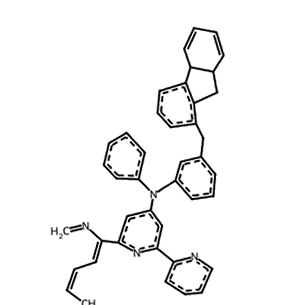 C=N/C(=C\C=C/C)c1cc(N(c2ccccc2)c2cccc(Cc3cccc4c3CC3C=CC=CC43)c2)cc(-c2ccccn2)n1